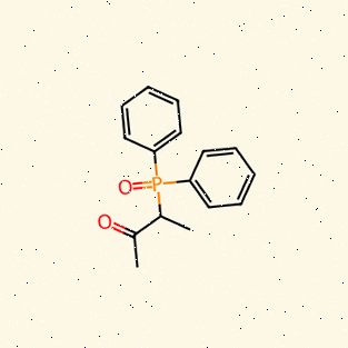 CC(=O)C(C)P(=O)(c1ccccc1)c1ccccc1